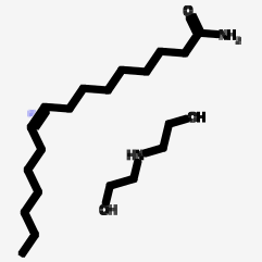 CCCCCC/C=C\CCCCCCCC(N)=O.OCCNCCO